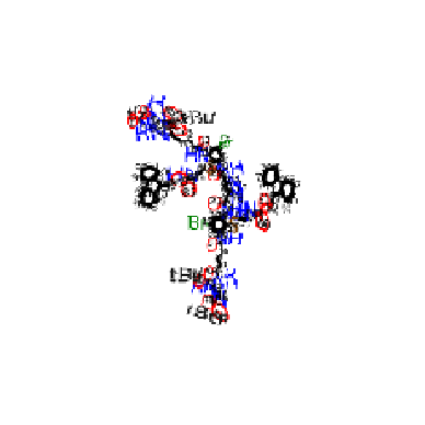 CC(C)(C)OC(=O)/N=C(/NCCCCC(=O)Nc1cc(Br)cc(NC(=O)c2cc(C(=O)Nc3cc(Br)cc(NC(=O)CCCCN/C(=N/C(=O)OC(C)(C)C)NC(=O)OC(C)(C)C)c3SCCNC(=O)OCC3c4ccccc4-c4ccccc43)ncn2)c1SCCNC(=O)OCC1c2ccccc2-c2ccccc21)NC(=O)OC(C)(C)C